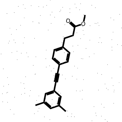 COC(=O)CCc1ccc(C#Cc2cc(C)cc(C)c2)cc1